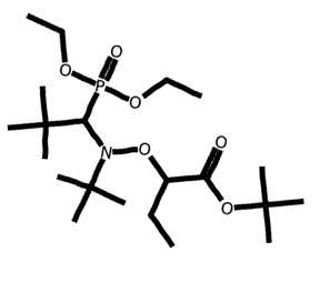 CCOP(=O)(OCC)C(N(OC(CC)C(=O)OC(C)(C)C)C(C)(C)C)C(C)(C)C